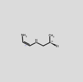 CC[C@H](C)CN/C=C\N